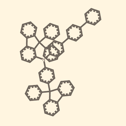 c1ccc(-c2ccc(-c3ccc(N(c4ccc(C5(c6ccccc6)c6ccccc6-c6ccccc65)cc4)c4cccc5c4C(c4ccccc4)(c4ccccc4)c4ccccc4-5)cc3)cc2)cc1